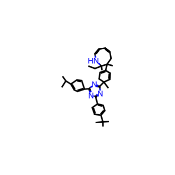 CCC1(C)N/C=C\C=C/CC1(C)C1=CCC(C)(c2nc(-c3ccc(C(C)C)cc3)nc(-c3ccc(C(C)(C)C)cc3)n2)C=C1